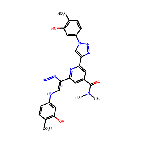 CCCCN(CCCC)C(=O)c1cc(/C(=C/Nc2ccc(C(=O)O)c(O)c2)N=N)nc(-c2cn(-c3ccc(C(=O)O)c(O)c3)nn2)c1